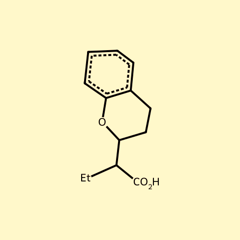 CCC(C(=O)O)C1CCc2ccccc2O1